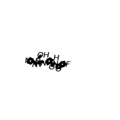 O=C(N[C@@H]1COc2cc(F)ccc21)c1cccc(NCc2nnc(-c3ccncc3)n2CCO)c1